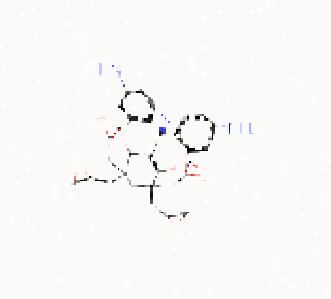 N#CC1=C(Oc2cccc(N)c2)C(CC2CO2)(CC2CO2)CC(CC2CO2)(CC2CO2)C1Oc1cccc(N)c1